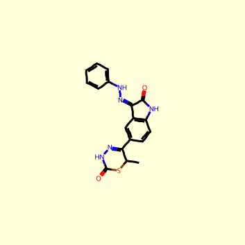 CC1SC(=O)NN=C1c1ccc2c(c1)C(=NNc1ccccc1)C(=O)N2